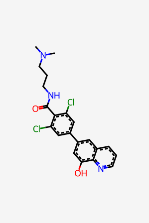 CN(C)CCCNC(=O)c1c(Cl)cc(-c2cc(O)c3ncccc3c2)cc1Cl